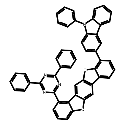 c1ccc(-c2nc(-c3ccccc3)nc(-c3cccc4oc5cc6c(cc5c34)oc3c(-c4ccc5c(c4)c4ccccc4n5-c4ccccc4)cccc36)n2)cc1